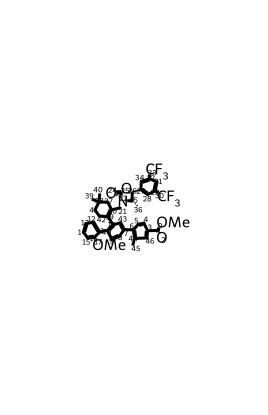 COC(=O)c1ccc(-c2ccc(-c3ccccc3OC)c(C3=C(CN4C(=O)O[C@@H](c5cc(C(F)(F)F)cc(C(F)(F)F)c5)[C@@H]4C)CC(C)(C)CC3)c2)c(C)c1